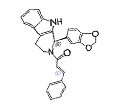 O=C(/C=C/c1ccccc1)N1CCc2c([nH]c3ccccc23)[C@H]1c1ccc2c(c1)OCO2